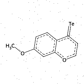 COc1ccc2c(=[Te])ccoc2c1